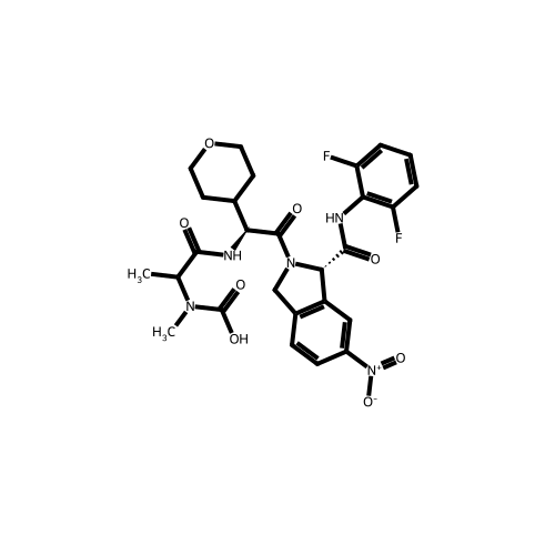 CC(C(=O)N[C@H](C(=O)N1Cc2ccc([N+](=O)[O-])cc2[C@H]1C(=O)Nc1c(F)cccc1F)C1CCOCC1)N(C)C(=O)O